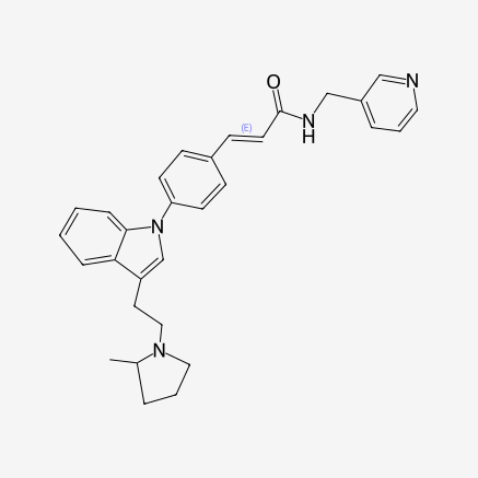 CC1CCCN1CCc1cn(-c2ccc(/C=C/C(=O)NCc3cccnc3)cc2)c2ccccc12